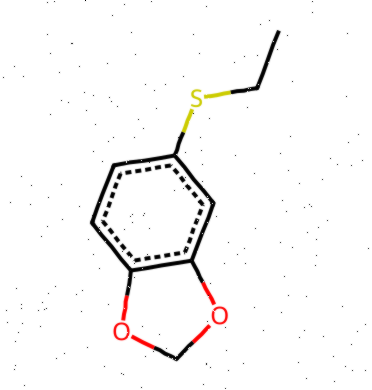 CCSc1ccc2c(c1)OCO2